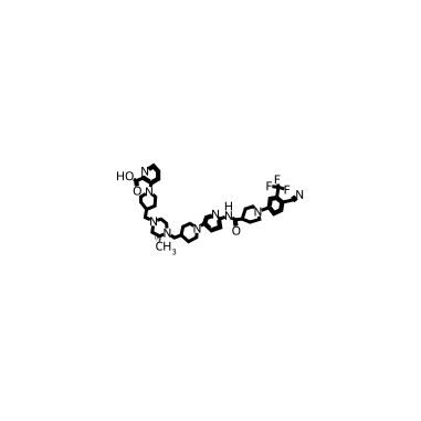 C[C@@H]1CN(CC2CCN(c3cccnc3C(=O)O)CC2)CCN1CC1CCN(c2ccc(NC(=O)C3CCN(c4ccc(C#N)c(C(F)(F)F)c4)CC3)nc2)CC1